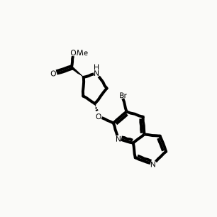 COC(=O)[C@@H]1C[C@@H](Oc2nc3cnccc3cc2Br)CN1